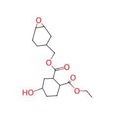 CCOC(=O)C1CCC(O)CC1C(=O)OCC1CCC2OC2C1